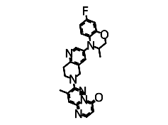 Cc1cc2nccc(=O)n2nc1N1CCc2ncc(N3c4ccc(F)cc4OCC3C)cc2C1